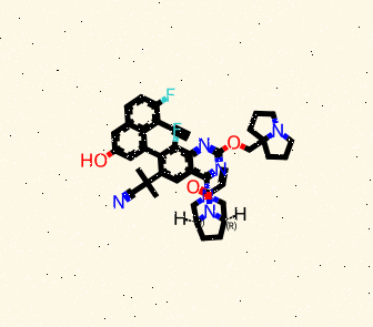 C#Cc1c(F)ccc2cc(O)cc(-c3c(C(C)(C)C#N)cc4c(N5C[C@H]6CC[C@@H](C5)N6C(=O)C=C)nc(OCC56CCCN5CCC6)nc4c3F)c12